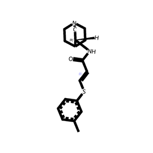 Cc1cccc(S/C=C/C(=O)N[C@H]2CN3CCC2CC3)c1